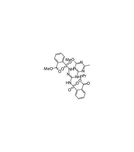 CCCOC(=O)c1ccccc1S(=O)(=O)NC(=NNS(=O)(=O)c1ccccc1C(=O)OC)Nc1nc(C)nc(OC)n1